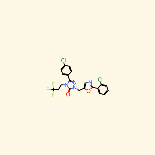 O=c1n(Cc2cnc(-c3ccccc3Cl)o2)nc(-c2ccc(Cl)cc2)n1CCC(F)(F)F